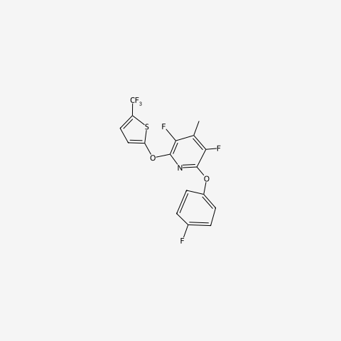 Cc1c(F)c(Oc2ccc(F)cc2)nc(Oc2ccc(C(F)(F)F)s2)c1F